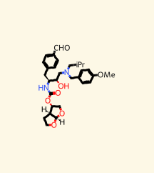 COc1ccc(CN(CC(C)C)C[C@@H](O)[C@H](Cc2ccc(C=O)cc2)NC(=O)O[C@H]2CO[C@H]3OCC[C@H]32)cc1